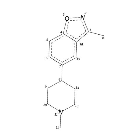 Cc1noc2ccc(C3CCN(C)CC3)cc12